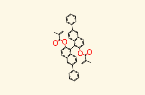 C=C(C)C(=O)Oc1ccc2cc(-c3ccccc3)ccc2c1-c1c(OC(=O)C(=C)C)ccc2cc(-c3ccccc3)ccc12